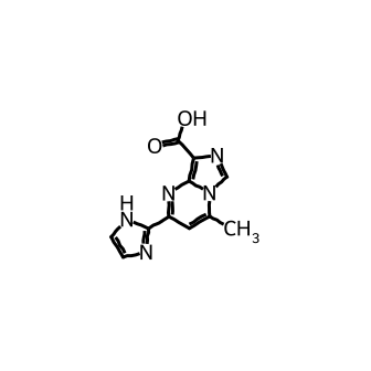 Cc1cc(-c2ncc[nH]2)nc2c(C(=O)O)ncn12